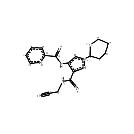 N#CCNC(=O)c1nn(C2CCCCO2)cc1NC(=O)c1ccccn1